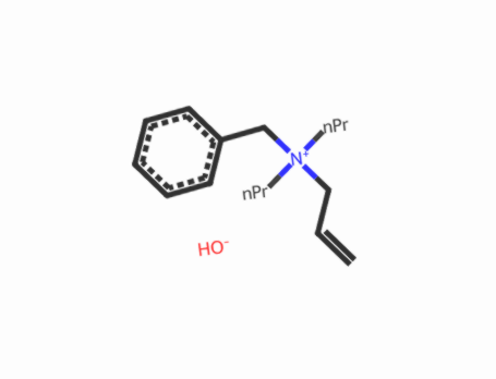 C=CC[N+](CCC)(CCC)Cc1ccccc1.[OH-]